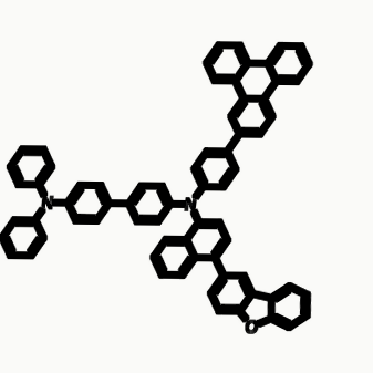 c1ccc(N(c2ccccc2)c2ccc(-c3ccc(N(c4ccc(-c5ccc6c7ccccc7c7ccccc7c6c5)cc4)c4ccc(-c5ccc6oc7ccccc7c6c5)c5ccccc45)cc3)cc2)cc1